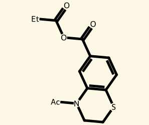 CCC(=O)OC(=O)c1ccc2c(c1)N(C(C)=O)CCS2